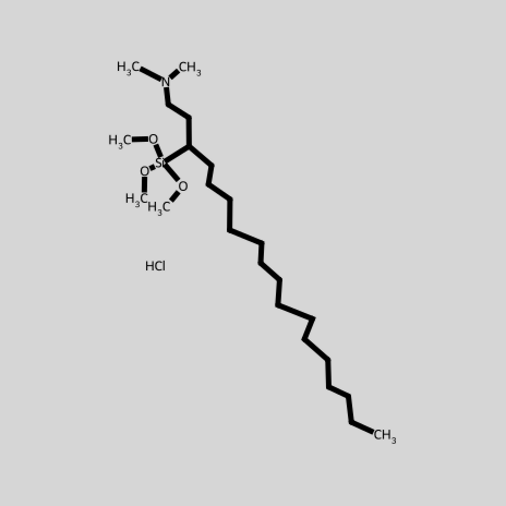 CCCCCCCCCCCCCCCC(CCN(C)C)[Si](OC)(OC)OC.Cl